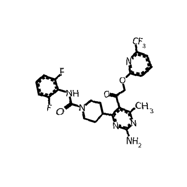 Cc1nc(N)nc(C2CCN(C(=O)Nc3c(F)cccc3F)CC2)c1C(=O)COc1cccc(C(F)(F)F)n1